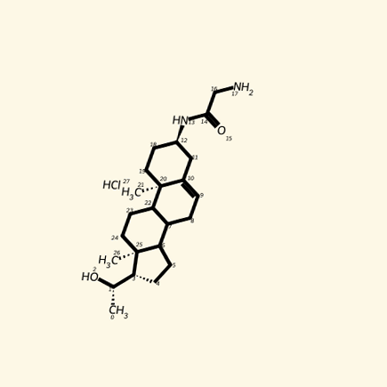 C[C@H](O)[C@H]1CCC2C3CC=C4C[C@H](NC(=O)CN)CC[C@]4(C)C3CC[C@@]21C.Cl